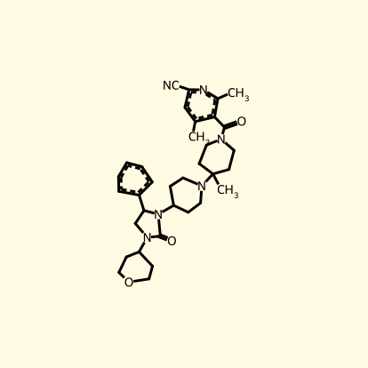 Cc1cc(C#N)nc(C)c1C(=O)N1CCC(C)(N2CCC(N3C(=O)N(C4CCOCC4)CC3c3ccccc3)CC2)CC1